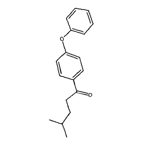 CC(C)CCC(=O)c1ccc(Oc2ccccc2)cc1